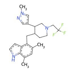 Cc1cc(C)c2[nH]ccc2c1CC1CCN(CC(F)(F)F)CC1c1cnn(C)c1